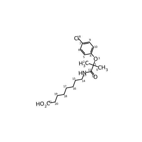 CC(C)(Oc1ccc(Cl)cc1)C(=O)NCCCCCCCC(=O)O